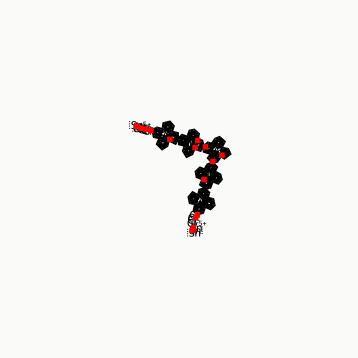 [Cl-].[Cl-].[Cl-].[Cl-].[Cl-].[Cl-].[Cl-].[Cl-].[Cl-].[Sn].[Sn].[Sn].[Sn].[Sn].[V+5].[V+5].c1cc[c]([Al-]([c]2ccccc2)([c]2ccccc2)[c]2ccccc2)cc1.c1cc[c]([Al-]([c]2ccccc2)([c]2ccccc2)[c]2ccccc2)cc1.c1cc[c]([Al-]([c]2ccccc2)([c]2ccccc2)[c]2ccccc2)cc1.c1cc[c]([Al-]([c]2ccccc2)([c]2ccccc2)[c]2ccccc2)cc1.c1cc[c]([Al-]([c]2ccccc2)([c]2ccccc2)[c]2ccccc2)cc1